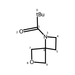 CC(C)(C)C(=O)N1CCC12COC2